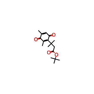 CC1=CC(=O)C(C(C)(C)CC(=O)OC(C)(C)C)=C(C)C1=O